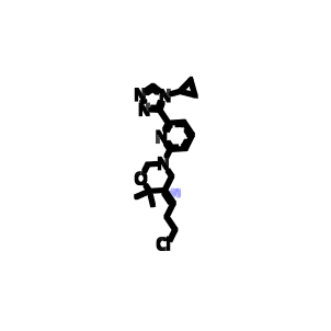 CC1(C)OCN(c2cccc(-c3nncn3C3CC3)n2)C/C1=C/CCCl